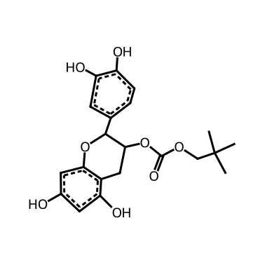 CC(C)(C)COC(=O)OC1Cc2c(O)cc(O)cc2OC1c1ccc(O)c(O)c1